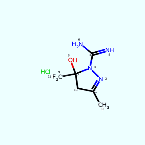 CC1=NN(C(=N)N)C(O)(C(F)(F)F)C1.Cl